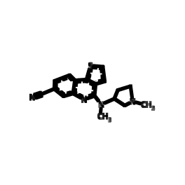 CN1CCC(N(C)c2nc3cc(C#N)ccc3c3sccc23)C1